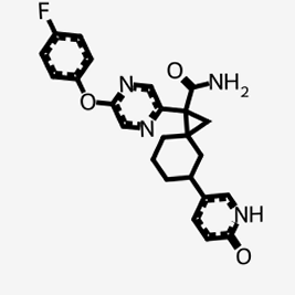 NC(=O)C1(c2cnc(Oc3ccc(F)cc3)cn2)CC12CCCC(c1ccc(=O)[nH]c1)C2